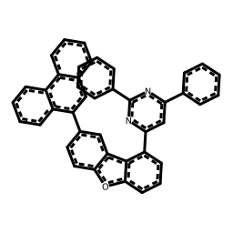 c1ccc(-c2cc(-c3cccc4oc5ccc(-c6cc7ccccc7c7ccccc67)cc5c34)nc(-c3ccccc3)n2)cc1